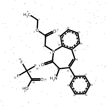 CCOC(=O)CN1C(=O)C(N)C(c2ccccc2)=Cc2ccccc21.O=C(O)C(F)(F)F